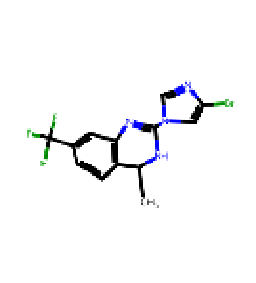 CC1NC(n2cnc(Br)c2)=Nc2cc(C(F)(F)F)ccc21